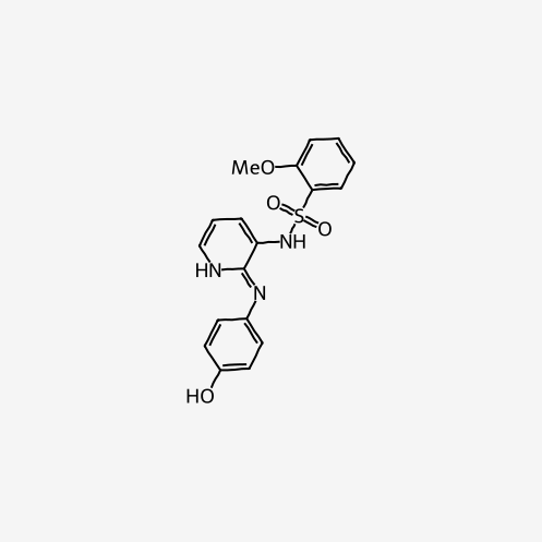 COc1ccccc1S(=O)(=O)Nc1ccc[nH]c1=Nc1ccc(O)cc1